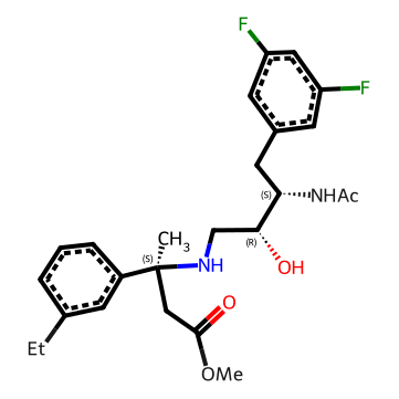 CCc1cccc([C@](C)(CC(=O)OC)NC[C@@H](O)[C@H](Cc2cc(F)cc(F)c2)NC(C)=O)c1